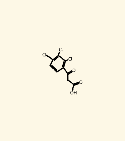 O=C(O)CC(=O)c1ccc(Cl)c(Cl)c1Cl